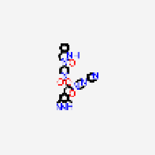 Cc1cc(C[C@@H](OC(=O)N2CCC(N3CCc4ccccc4NC3=O)CC2)C(=O)N2CCN(c3ccncc3)CC2)cc2cn[nH]c12